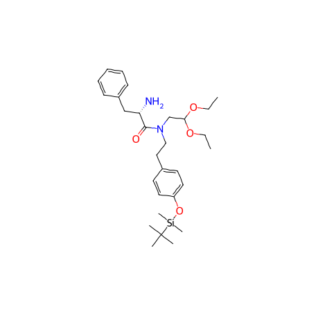 CCOC(CN(CCc1ccc(O[Si](C)(C)C(C)(C)C)cc1)C(=O)[C@@H](N)Cc1ccccc1)OCC